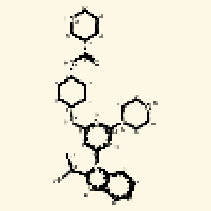 O=C(N[C@H]1CC[C@H](Nc2cc(-n3c(C(F)F)nc4ccccc43)nc(N3CCOCC3)n2)CC1)[C@H]1CCCNC1